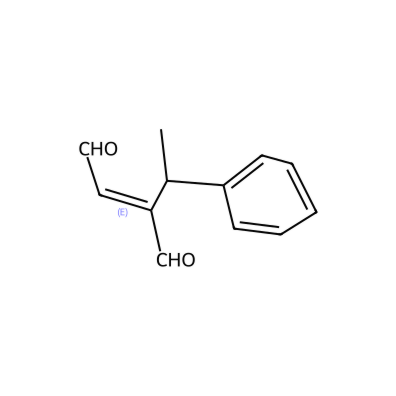 CC(/C(C=O)=C\C=O)c1ccccc1